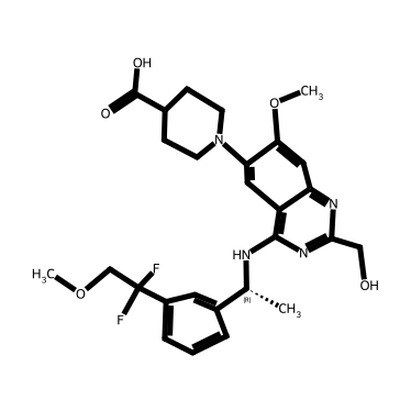 COCC(F)(F)c1cccc([C@@H](C)Nc2nc(CO)nc3cc(OC)c(N4CCC(C(=O)O)CC4)cc23)c1